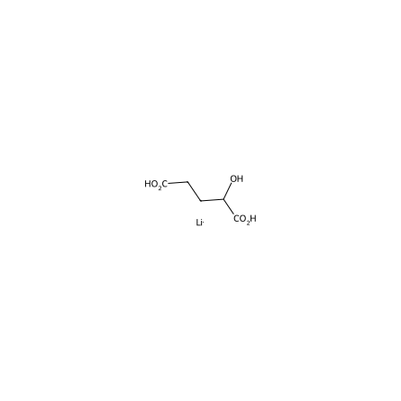 O=C(O)CCC(O)C(=O)O.[Li]